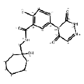 O=C(NCC1(O)CCCCCC1)c1cc(-n2c(=O)cn[nH]c2=O)ncc1Cl